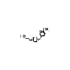 Cc1ccc(CN2CCN(CCCO)CC2)cn1